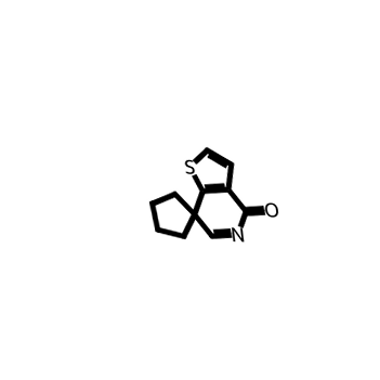 O=C1N=CC2(CCCC2)c2sccc21